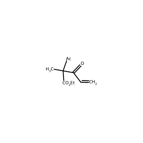 C=CC(=O)C(C)(C(C)=O)C(=O)OCC